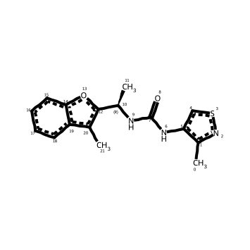 Cc1nscc1NC(=O)N[C@H](C)c1oc2ccccc2c1C